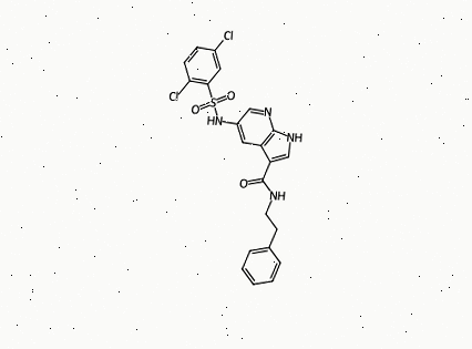 O=C(NCCc1ccccc1)c1c[nH]c2ncc(NS(=O)(=O)c3cc(Cl)ccc3Cl)cc12